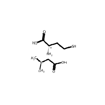 CN(C)CC(=O)O.N[C@@H](CCS)C(=O)O